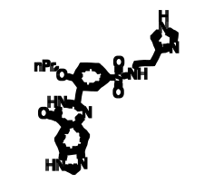 CCCOc1ccc(S(=O)(=O)NCCc2c[nH]cn2)cc1-c1nc2cc3nc[nH]c3cc2c(=O)[nH]1